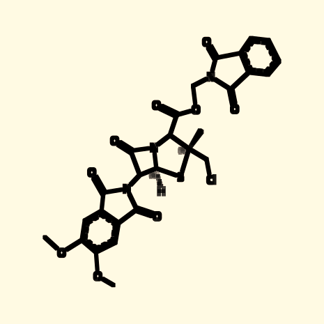 COc1cc2c(cc1OC)C(=O)N(C1C(=O)N3C(C(=O)OCN4C(=O)c5ccccc5C4=O)[C@](C)(CCl)S[C@@H]13)C2=O